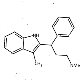 CNCCC(c1ccccc1)c1[nH]c2ccccc2c1C